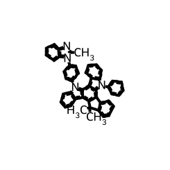 Cc1nc2ccccc2n1-c1ccc(-n2c3ccccc3c3c4c(c5c(c6ccccc6n5-c5ccccc5)c32)-c2ccccc2C4(C)C)cc1